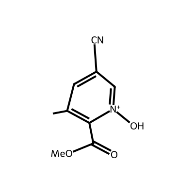 COC(=O)c1c(C)cc(C#N)c[n+]1O